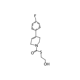 O=C(SCCO)N1CC=C(c2ccc(F)cc2)CC1